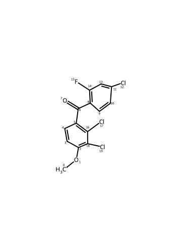 COc1ccc(C(=O)c2ccc(Cl)cc2F)c(Cl)c1Cl